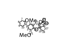 COCc1cc(-c2ccccc2)cc(COC)c1OC1C2CC3C1OS(=O)(=O)C3C2